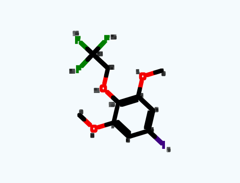 COc1cc(I)cc(OC)c1OCC(F)(F)F